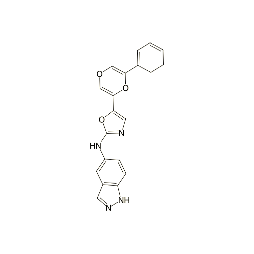 C1=CCCC(C2=COC=C(c3cnc(Nc4ccc5[nH]ncc5c4)o3)O2)=C1